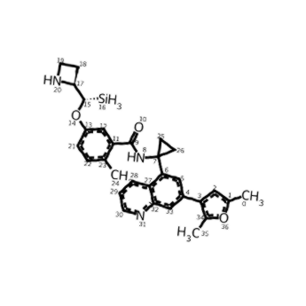 Cc1cc(-c2cc(C3(NC(=O)c4cc(O[C@@H]([SiH3])[C@@H]5CCN5)ccc4C)CC3)c3cccnc3c2)c(C)o1